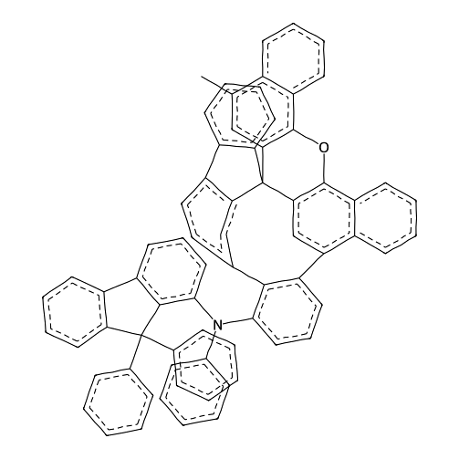 Cc1cc2c(c3ccccc13)Oc1c3cc(c4ccccc14)-c1cccc(N(c4ccccc4)c4cccc5c4C(c4ccccc4)(c4ccccc4)c4ccccc4-5)c1-c1ccc4c(c1)C23c1ccccc1-4